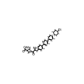 CC[C@H]1CC[C@H](c2ccc(-c3cnc(-c4ccc(C[C@H](N)C(=O)N5CC(C(=O)OC)C5)cc4)nc3)cc2)CC1